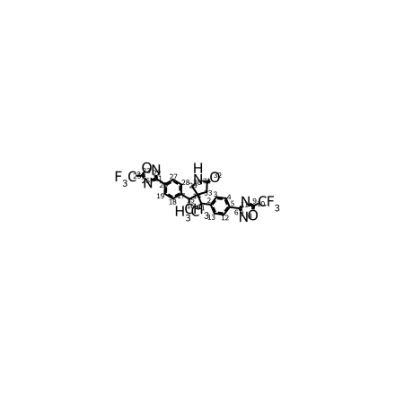 CC(c1ccc(-c2noc(C(F)(F)F)n2)cc1)C1(C(C)c2ccc(-c3noc(C(F)(F)F)n3)cc2)CNC(=O)C1